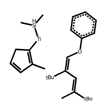 CC(=CC(=COc1ccccc1)C(C)(C)C)C(C)(C)C.CC1=[C]([Ti][SiH](C)C)CC=C1